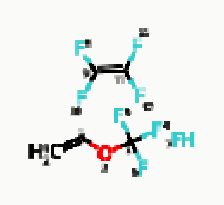 C=COC(F)(F)F.F.FC(F)=C(F)F